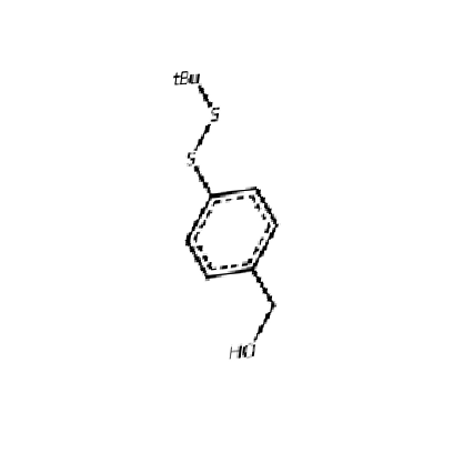 CC(C)(C)SSc1ccc(CO)cc1